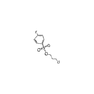 O=S(=O)(OCCCCl)c1ccc(F)cc1